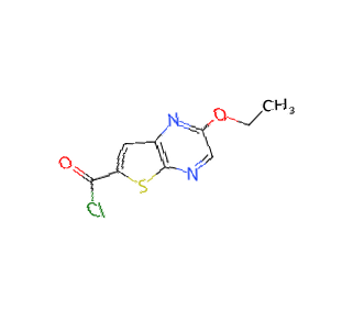 CCOc1cnc2sc(C(=O)Cl)cc2n1